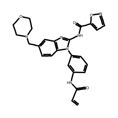 C=CC(=O)Nc1cccc(-n2c(NC(=O)c3ccno3)nc3cc(CN4CCOCC4)ccc32)c1